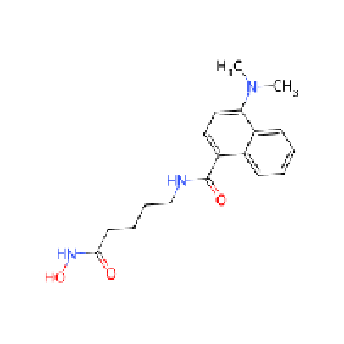 CN(C)c1ccc(C(=O)NCCCCC(=O)NO)c2ccccc12